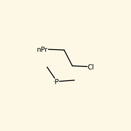 CCCCCCl.C[P]C